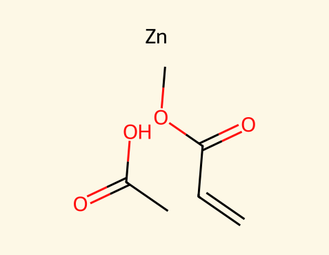 C=CC(=O)OC.CC(=O)O.[Zn]